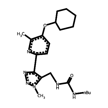 CCCCNC(=O)NCc1c(-c2ccc(OC3CCCCC3)c(C)n2)nnn1C